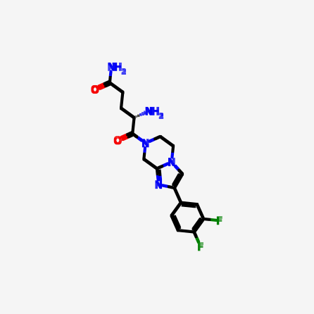 NC(=O)CC[C@H](N)C(=O)N1CCn2cc(-c3ccc(F)c(F)c3)nc2C1